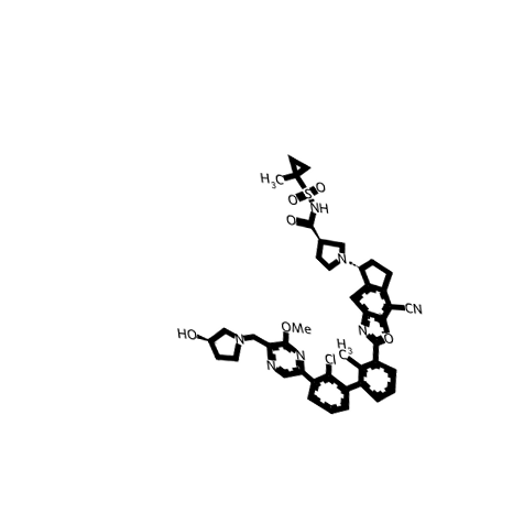 COc1nc(-c2cccc(-c3cccc(-c4nc5cc6c(c(C#N)c5o4)CC[C@H]6N4CC[C@@H](C(=O)NS(=O)(=O)C5(C)CC5)C4)c3C)c2Cl)cnc1CN1CC[C@@H](O)C1